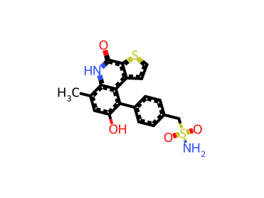 Cc1cc(O)c(-c2ccc(CS(N)(=O)=O)cc2)c2c1[nH]c(=O)c1sccc12